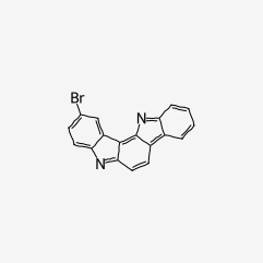 Brc1ccc2c(c1)-c1c3c(ccc1=N2)=c1ccccc1=N3